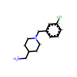 NCC1CCN(Cc2cccc(Cl)c2)CC1